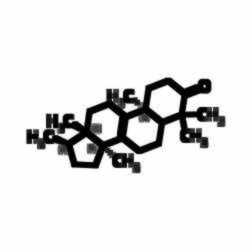 C[C@@H]1CC[C@]2(C)C3=C(CC[C@@]12C)[C@@]1(C)CCC(=O)C(C)(C)C1CC3